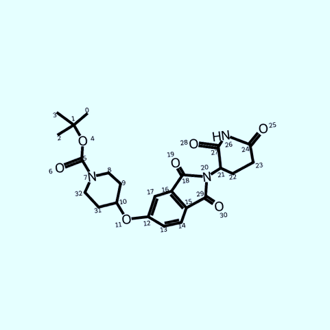 CC(C)(C)OC(=O)N1CCC(Oc2ccc3c(c2)C(=O)N(C2CCC(=O)NC2=O)C3=O)CC1